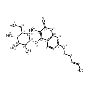 CC/C=C/CCOc1ccc2c(O[C@H]3O[C@H](CO)[C@@H](O)[C@H](O)[C@@H]3O)c(O)c(=O)oc2c1